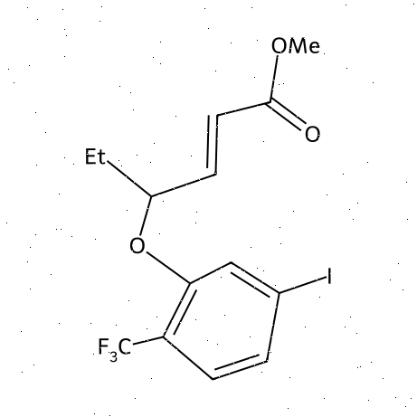 CCC(C=CC(=O)OC)Oc1cc(I)ccc1C(F)(F)F